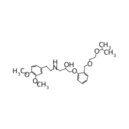 COc1ccc(CCNCC(O)COc2ccccc2COCCOC(C)C)cc1OC